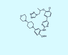 COc1ccc(N2CCC(N3CCOCC3)CC2)cc1Nc1ncc(-c2ccc(Cl)c(OC(C)Cn3cnnn3)c2)cn1